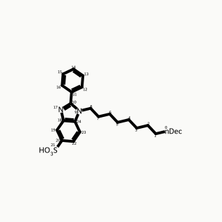 CCCCCCCCCCCCCCCCCCn1c(-c2ccccc2)nc2cc(S(=O)(=O)O)ccc21